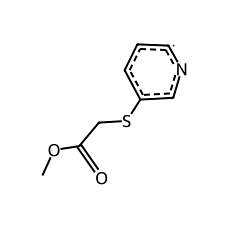 COC(=O)CSc1cc[c]nc1